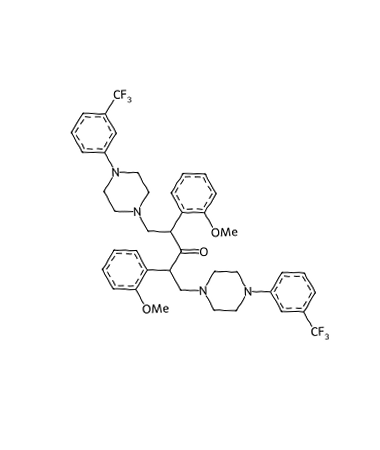 COc1ccccc1C(CN1CCN(c2cccc(C(F)(F)F)c2)CC1)C(=O)C(CN1CCN(c2cccc(C(F)(F)F)c2)CC1)c1ccccc1OC